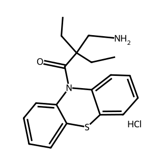 CCC(CC)(CN)C(=O)N1c2ccccc2Sc2ccccc21.Cl